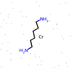 NCCCCCCN.[Cr]